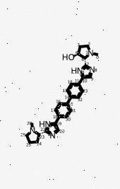 CN1CC[C@H](O)[C@H]1c1ncc(-c2ccc(-c3ccc(-c4cnc([C@@H]5CCCN5C)[nH]4)cc3)cc2)[nH]1